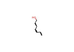 C=C/C=C\C=C\CO